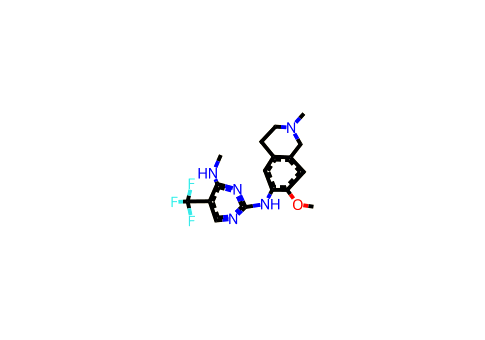 CNc1nc(Nc2cc3c(cc2OC)CN(C)CC3)ncc1C(F)(F)F